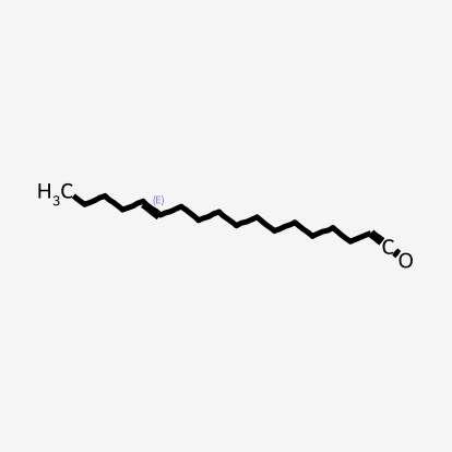 CCCC/C=C/CCCCCCCCCCC=C=O